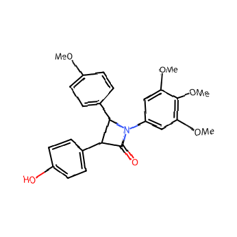 COc1ccc(C2C(c3ccc(O)cc3)C(=O)N2c2cc(OC)c(OC)c(OC)c2)cc1